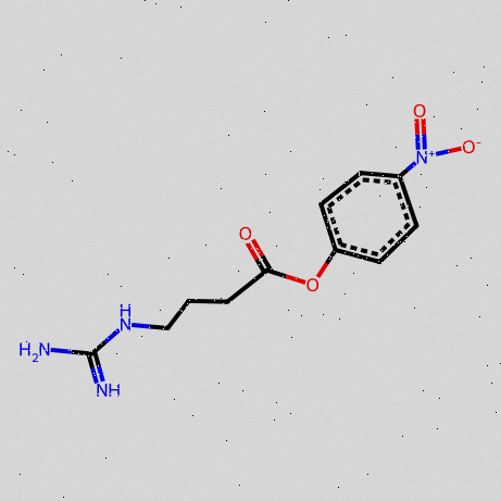 N=C(N)NCCCC(=O)Oc1ccc([N+](=O)[O-])cc1